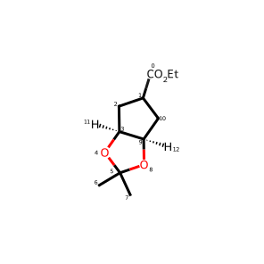 CCOC(=O)C1C[C@@H]2OC(C)(C)O[C@@H]2C1